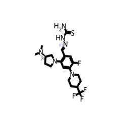 CN(C)[C@@H]1CCN(c2cc(N3CCC(C(F)(F)F)CC3)c(F)cc2/C=N/NC(N)=S)C1